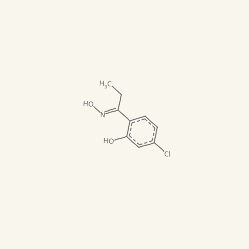 CCC(=NO)c1ccc(Cl)cc1O